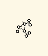 Fc1cc(-n2c3ccccc3c3ccccc32)ccc1C=Cc1cccc(-c2ccccc2)c1C=Cc1ccc(-n2c3ccccc3c3ccccc32)cc1F